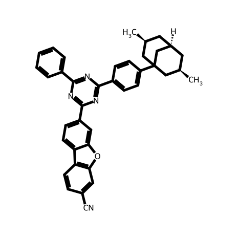 C[C@@H]1C[C@@H]2C[C@H](C)CC(c3ccc(-c4nc(-c5ccccc5)nc(-c5ccc6c(c5)oc5cc(C#N)ccc56)n4)cc3)(C1)C2